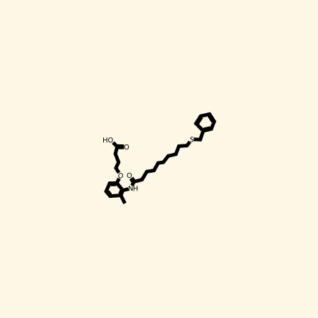 Cc1cccc(OCCCC(=O)O)c1NC(=O)CCCCCCCCCSCc1ccccc1